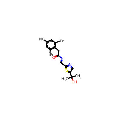 CC(C)c1cc(C#N)cc(C(C)C)c1CC(=O)N=Cc1ncc(C(C)(C)O)s1